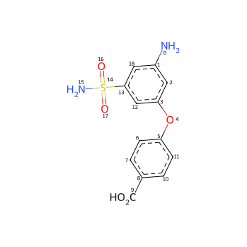 Nc1cc(Oc2ccc(C(=O)O)cc2)cc(S(N)(=O)=O)c1